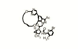 CC(=O)c1nn(CC(=O)N2[C@H](C(=O)Nc3nc(Br)ccc3C)C[C@@]3(C)C[C@@H]23)c2c3cc(cc12)-c1cnc(nc1)OCCCCC/C=C/COC3